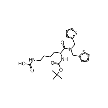 CC(C)(C)OC(=O)NC(CCCCNC(=O)O)C(=O)N(Cc1cccs1)Cc1cccs1